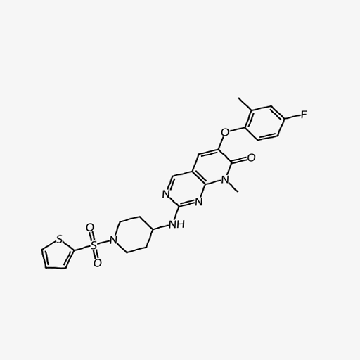 Cc1cc(F)ccc1Oc1cc2cnc(NC3CCN(S(=O)(=O)c4cccs4)CC3)nc2n(C)c1=O